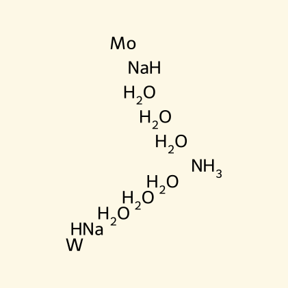 N.O.O.O.O.O.O.[Mo].[NaH].[NaH].[W]